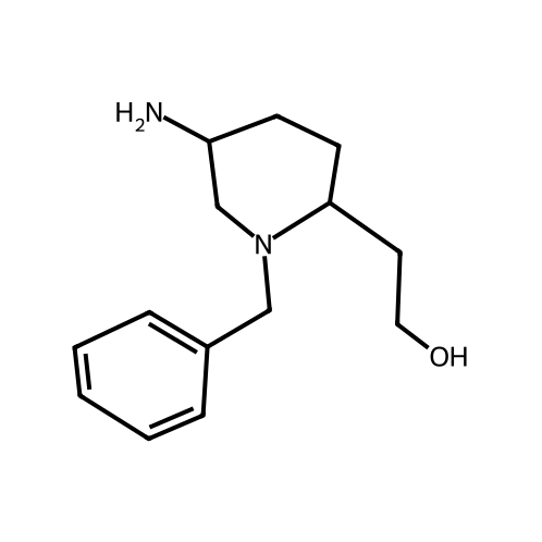 NC1CCC(CCO)N(Cc2ccccc2)C1